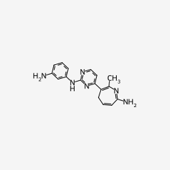 CC1=C(c2ccnc(Nc3cccc(N)c3)n2)CC=CC(N)=N1